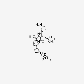 CC(C)=CCn1c(N2CCCC(N)C2)nc2c1c(=O)n(CC(=O)c1cccc(OCS(C)(=O)=O)c1)c(=O)n2C